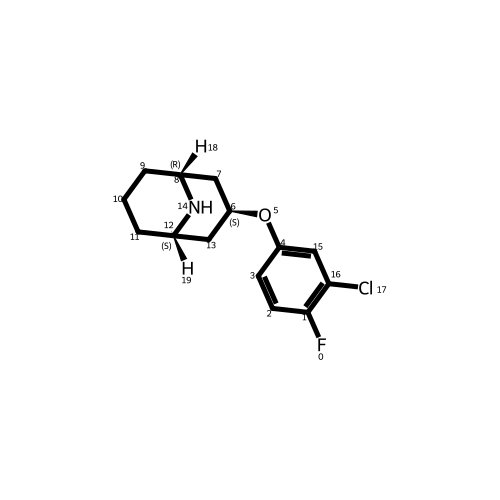 Fc1ccc(O[C@@H]2C[C@H]3CCC[C@@H](C2)N3)cc1Cl